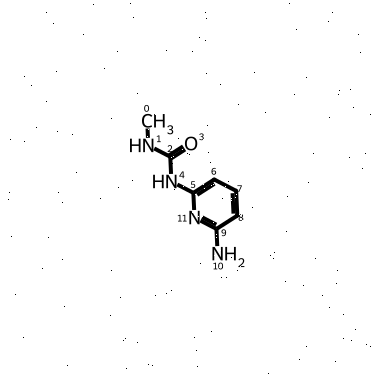 CNC(=O)Nc1cccc(N)n1